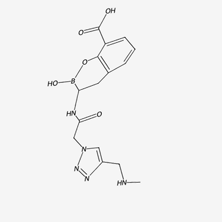 CNCc1cn(CC(=O)NC2Cc3cccc(C(=O)O)c3OB2O)nn1